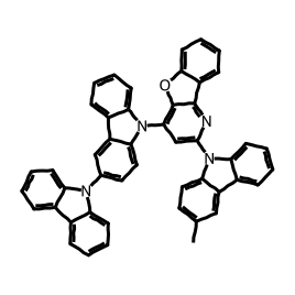 Cc1ccc2c(c1)c1ccccc1n2-c1cc(-n2c3ccccc3c3cc(-n4c5ccccc5c5ccccc54)ccc32)c2oc3ccccc3c2n1